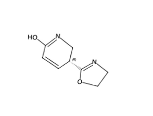 OC1=NC[C@H](C2=NCCO2)C=C1